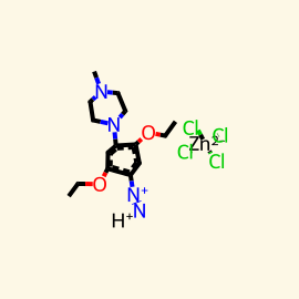 CCOc1cc(N2CCN(C)CC2)c(OCC)cc1[N+]#N.[Cl][Zn-2]([Cl])([Cl])[Cl].[H+]